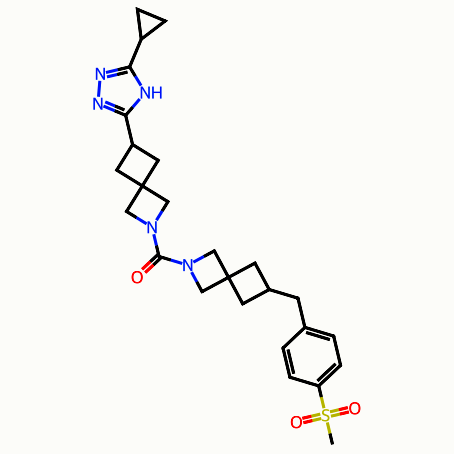 CS(=O)(=O)c1ccc(CC2CC3(C2)CN(C(=O)N2CC4(CC(c5nnc(C6CC6)[nH]5)C4)C2)C3)cc1